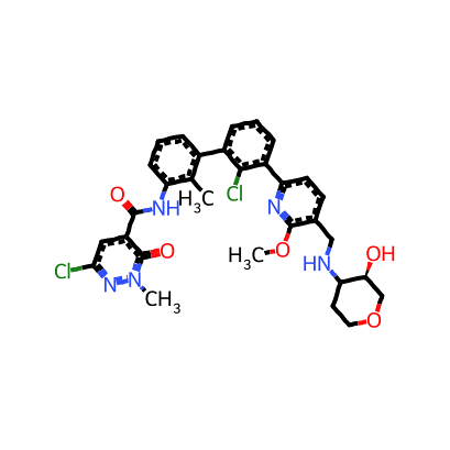 COc1nc(-c2cccc(-c3cccc(NC(=O)c4cc(Cl)nn(C)c4=O)c3C)c2Cl)ccc1CNC1CCOC[C@@H]1O